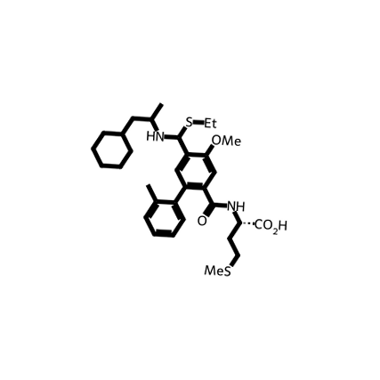 CCSC(NC(C)CC1CCCCC1)c1cc(-c2ccccc2C)c(C(=O)N[C@@H](CCSC)C(=O)O)cc1OC